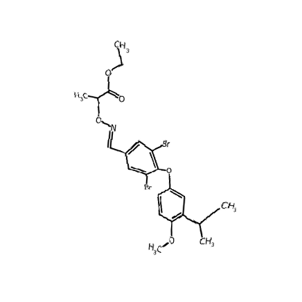 CCOC(=O)C(C)ON=Cc1cc(Br)c(Oc2ccc(OC)c(C(C)C)c2)c(Br)c1